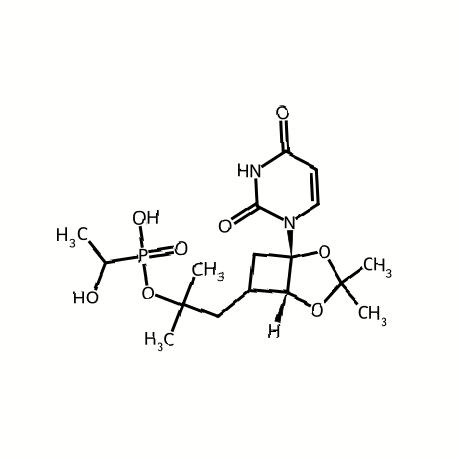 CC(O)P(=O)(O)OC(C)(C)CC1C[C@]2(n3ccc(=O)[nH]c3=O)OC(C)(C)O[C@H]12